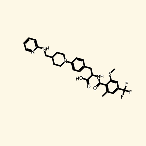 CSc1cc(C(F)(F)F)cc(C)c1C(=O)NC(Cc1ccc(N2CCC(CNc3ccccn3)CC2)cc1)C(=O)O